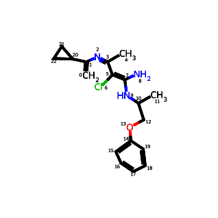 C=C(/N=C(C)\C(Cl)=C(/N)NC(C)COc1ccccc1)C1CC1